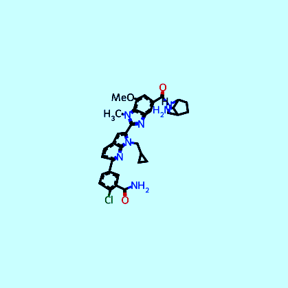 COc1cc(C(=O)N2CC3CCC2[C@@H]3N)cc2nc(-c3cc4ccc(-c5ccc(Cl)c(C(N)=O)c5)nc4n3CC3CC3)n(C)c12